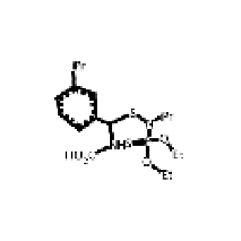 CCOP(=S)(OCC)N(SC(NC(=O)O)c1cccc(C(C)C)c1)C(C)C